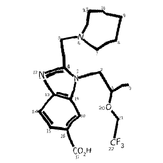 CC(Cn1c(CN2CCCCC2)nc2ccc(C(=O)O)cc21)OCC(F)(F)F